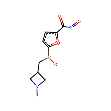 CN1CC(C[S+]([O-])c2ccc(C(=O)N=O)o2)C1